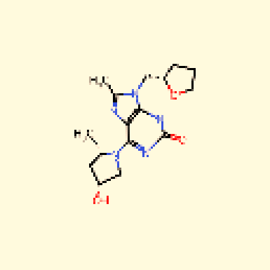 Cc1nc2c(N3C[C@H](O)C[C@@H]3C)nc(=O)[nH]c2n1C[C@@H]1CCCO1